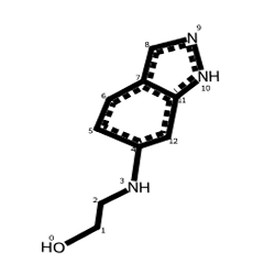 OCCNc1ccc2cn[nH]c2c1